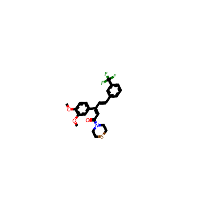 COc1ccc(C(=C\C(=O)N2CCSCC2)/C=C/c2cccc(C(F)(F)F)c2)cc1OC